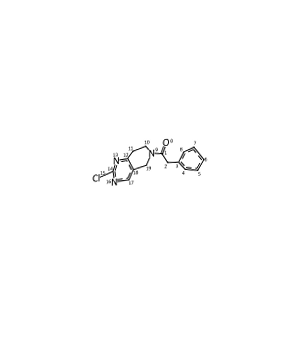 O=C(Cc1ccccc1)N1CCc2nc(Cl)ncc2C1